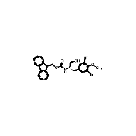 COc1c(Br)cc(C[C@@H](CO)NC(=O)OCC2c3ccccc3-c3ccccc32)cc1Br